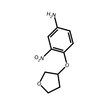 Nc1ccc(OC2CCOC2)c([N+](=O)[O-])c1